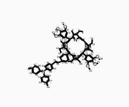 CCC1=C(C)c2nc1cc1[nH]c(c(C)c1CC)c(-c1cc(OC)c(OC)c(OC)c1)c1nc(c(-c3ccc(/C=C/c4ccc(N(c5ccc(C)cc5)c5ccc(C)cc5)cc4)cc3)c3[nH]c(c(C)c3CC)c2-c2cc(OC)c(OC)c(OC)c2)C(CC)=C1C